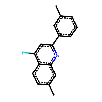 Cc1cccc(-c2cc(F)c3ccc(C)cc3n2)c1